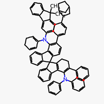 CC1(C)c2ccccc2-c2cc(N(C3=CCCC=C3)c3c(C4=CC=C(C5CC6CCC5C6)CC4)ccc4c3-c3ccccc3C43C4=C(C(N(c5ccccc5)c5ccccc5)=C(c5ccccc5)CC4)c4ccccc43)ccc21